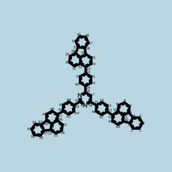 c1ccc2c(c1)-c1cccc3c(-c4ccc(-c5cc(-c6ccc(-c7ccc8c9c(cccc79)-c7ccccc7-8)cc6)nc(-c6ccc(-c7ccc8c9c(cccc79)-c7ccccc7-8)cc6)n5)cc4)ccc-2c13